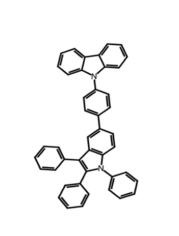 c1ccc(-c2c(-c3ccccc3)n(-c3ccccc3)c3ccc(-c4ccc(-n5c6ccccc6c6ccccc65)cc4)cc23)cc1